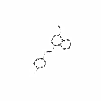 C=Nc1ccc(/N=N/c2ccc(N)cc2)c2ccccc12